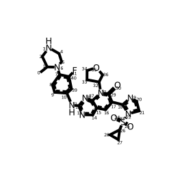 CC1CNCCN1c1ccc(Nc2ncc3cc(-c4nccn4S(=O)(=O)C4CC4)c(=O)n(C4CCOC4)c3n2)cc1F